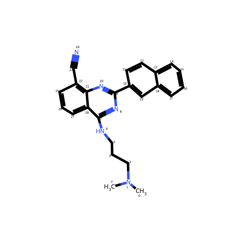 CN(C)CCCNc1nc(-c2ccc3ccccc3c2)nc2c(C#N)cccc12